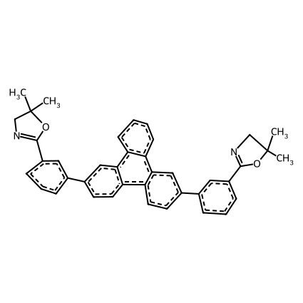 CC1(C)CN=C(c2cccc(-c3ccc4c5ccc(-c6cccc(C7=NCC(C)(C)O7)c6)cc5c5ccccc5c4c3)c2)O1